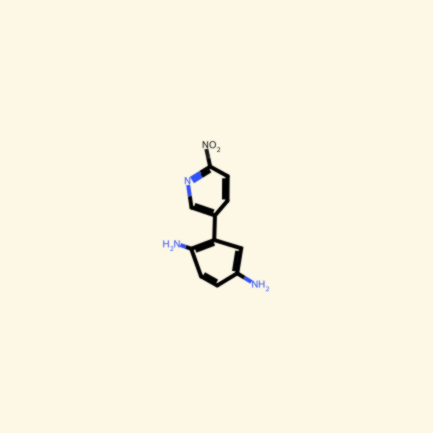 Nc1ccc(N)c(-c2ccc([N+](=O)[O-])nc2)c1